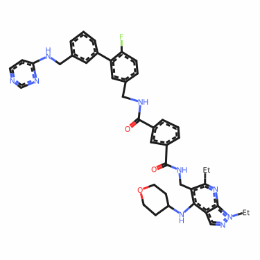 CCc1nc2c(cnn2CC)c(NC2CCOCC2)c1CNC(=O)c1cccc(C(=O)NCc2ccc(F)c(-c3cccc(CNc4ccncn4)c3)c2)c1